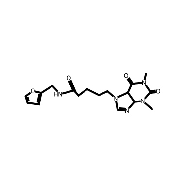 CN1C(=O)C2C(N=CN2CCCCC(=O)NCc2ccco2)N(C)C1=O